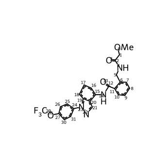 COCC(=O)NCc1ccccc1C(=O)Nc1cccc2c1cnn2-c1ccc(OC(F)(F)F)cc1